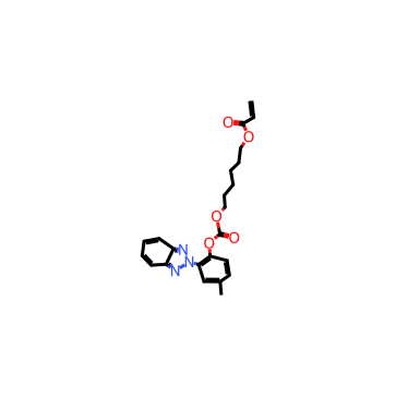 C=CC(=O)OCCCCCCOC(=O)Oc1ccc(C)cc1-n1nc2ccccc2n1